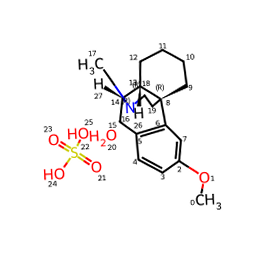 COc1ccc2c(c1)[C@@]13CCCC[C@H]1[C@@H](C2)N(C)CC3.O.O=S(=O)(O)O